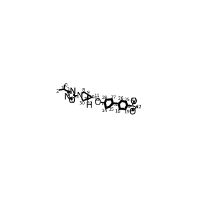 CC(C)c1noc(N2CC3[C@H](COc4ccc(-c5ccc(S(C)(=O)=O)cc5)cc4)[C@H]3C2)n1